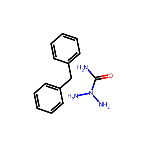 NC(=O)N(N)N.c1ccc(Cc2ccccc2)cc1